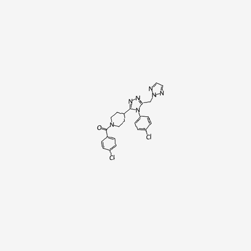 O=C(c1ccc(Cl)cc1)N1CCC(c2nnc(Cn3nccn3)n2-c2ccc(Cl)cc2)CC1